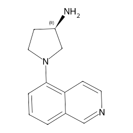 N[C@@H]1CCN(c2cccc3cnccc23)C1